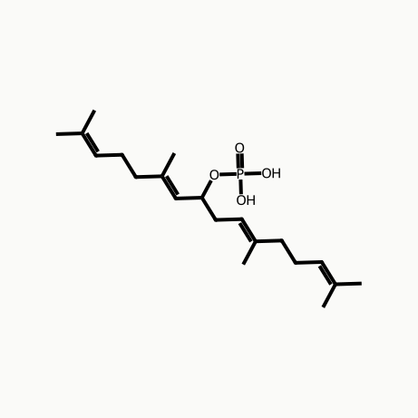 CC(C)=CCC/C(C)=C/CC(/C=C(\C)CCC=C(C)C)OP(=O)(O)O